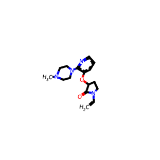 C=CN1CCC(Oc2cccnc2N2CCN(C)CC2)C1=O